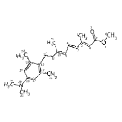 COC(=O)/C=C(C)/C=C/C=C(\C)CCc1c(C)cc(N(C)C)cc1C